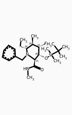 CC[C@@H]1[C@@H](C)[C@H](F)[C@H](O[Si](C)(C)C(C)(C)C)[C@@H](C(=O)NC)N1Cc1ccccc1